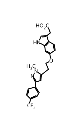 Cn1nc(-c2ccc(C(F)(F)F)cc2)cc1CCOc1ccc2c(CC(=O)O)c[nH]c2c1